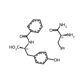 CC(C)C[C@H](N)C(N)=O.O=C(N[C@@H](Cc1ccc(O)cc1)C(=O)O)c1ccccc1